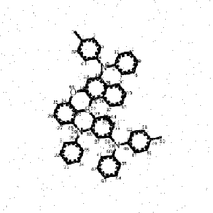 Cc1ccc(N(c2ccccc2)c2cc3c(c4ccccc24)B2c4c(cccc4N(c4ccccc4)c4cc(N(c5ccccc5)c5ccc(C)cc5)c5ccccc5c42)O3)cc1